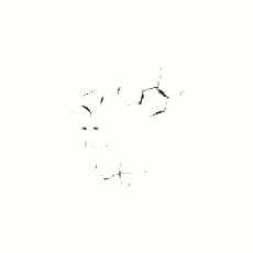 CC1(O)CCC(NS(=O)(=O)c2cc(C(=O)Nc3ccc(F)c(F)c3)ccc2Cl)CC1